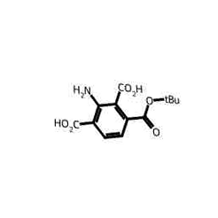 CC(C)(C)OC(=O)c1ccc(C(=O)O)c(N)c1C(=O)O